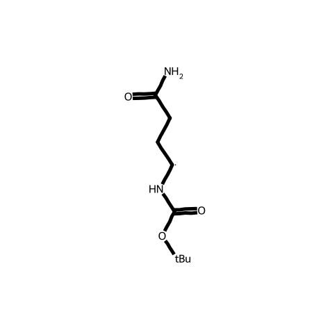 CC(C)(C)OC(=O)N[CH]CCC(N)=O